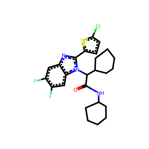 O=C(NC1CCCCC1)C(C1CCCCC1)n1c(-c2ccc(Cl)s2)nc2cc(F)c(F)cc21